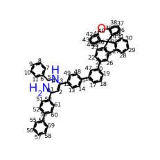 NC(/C=C(\NCc1ccccc1)c1ccc(-c2cccc(-c3ccc4c(c3)-c3ccccc3C43c4ccccc4Oc4ccccc43)c2)cc1)c1ccc(-c2ccccc2)cc1